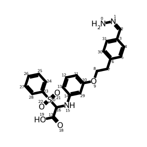 N/N=C\c1ccc(CCOc2cccc(NC(C(=O)O)S(=O)(=O)c3ccccc3)c2)cc1